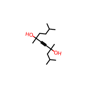 CC(C)CCC(C)(O)C#CC(C)(O)CC(C)C